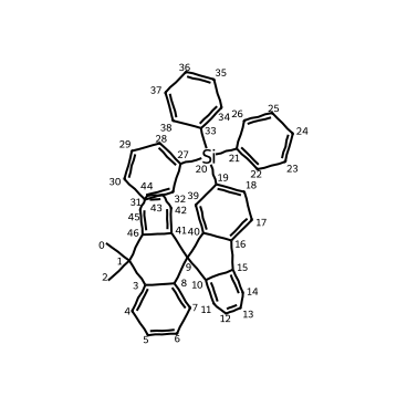 CC1(C)c2ccccc2C2(c3ccccc3-c3ccc([Si](c4ccccc4)(c4ccccc4)c4ccccc4)cc32)c2ccccc21